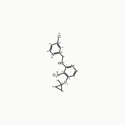 CC1(Oc2ccnc(NCc3cc(Cl)ccn3)c2[N+](=O)[O-])CC1